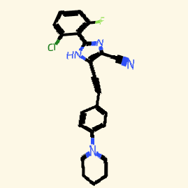 N#Cc1nc(-c2c(F)cccc2Cl)[nH]c1C#Cc1ccc(N2CCCCC2)cc1